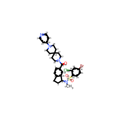 CN(C1CCc2ccc(C(=O)N3CCC4(CC3)CCN(c3ccncc3)CC4)cc21)S(=O)(=O)c1ccc(Br)cc1Cl